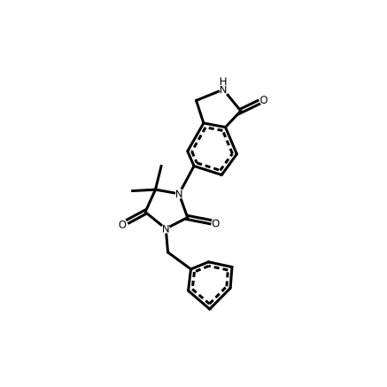 CC1(C)C(=O)N(Cc2ccccc2)C(=O)N1c1ccc2c(c1)CNC2=O